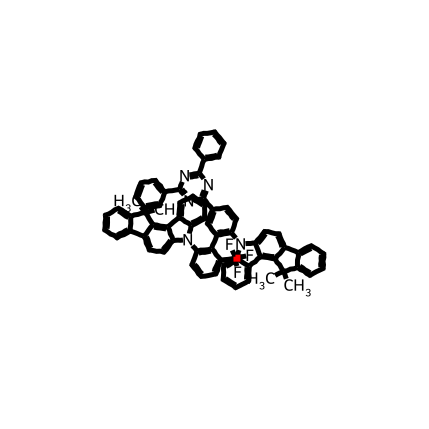 CC1(C)c2ccccc2-c2ccc3c(c21)c1ccccc1n3-c1ccc(-c2nc(-c3ccccc3)nc(-c3ccccc3)n2)cc1-c1c(-n2c3ccccc3c3c4c(ccc32)-c2ccccc2C4(C)C)cccc1C(F)(F)F